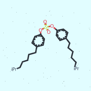 CC(C)CCCCCc1ccc(OS(=O)(=O)Oc2ccc(CCCCCC(C)C)cc2)cc1